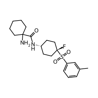 Cc1cccc(S(=O)(=O)[C@]2(F)CC[C@H](NC(=O)C3(N)CCCCC3)CC2)c1